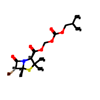 CC(C)COC(=O)OCOC(=O)[C@@H]1N2C(=O)[C@@H](Br)[C@H]2SC1(C)C